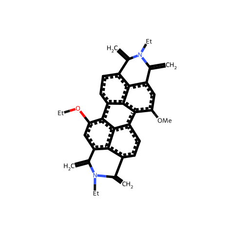 C=C1c2ccc3c4c(OCC)cc5c6c(ccc(c7c(OC)cc(c2c37)C(=C)N1CC)c64)C(=C)N(CC)C5=C